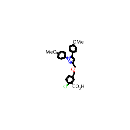 COc1ccc(-c2cc(COCc3ccc(Cl)c(C(=O)O)c3)nn2-c2ccc(OC)cc2)cc1